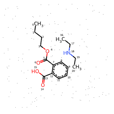 CCCCOC(=O)c1ccccc1C(=O)O.CCNCC